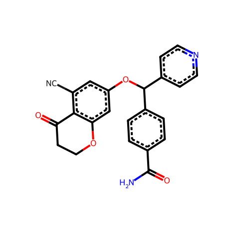 N#Cc1cc(OC(c2ccncc2)c2ccc(C(N)=O)cc2)cc2c1C(=O)CCO2